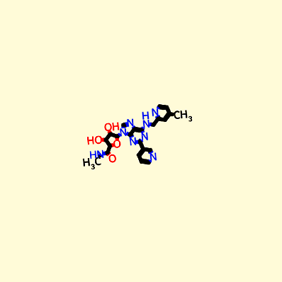 CNC(=O)C1OC(n2cnc3c(NCc4cc(C)ccn4)nc(-c4cccnc4)nc32)C(O)C1O